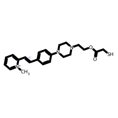 C[n+]1ccccc1/C=C/c1ccc(N2CCN(CCOC(=O)CS)CC2)cc1